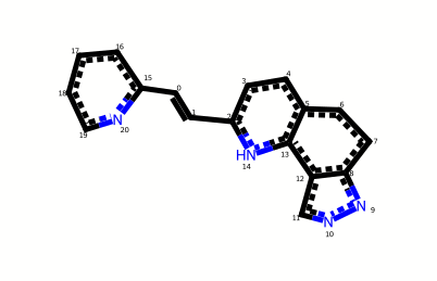 C(=Cc1ccc2ccc3nncc3c2[nH]1)c1ccccn1